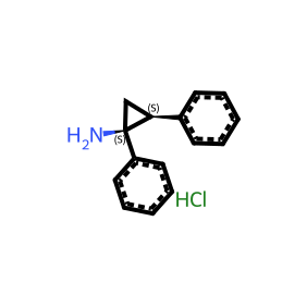 Cl.N[C@@]1(c2ccccc2)C[C@H]1c1ccccc1